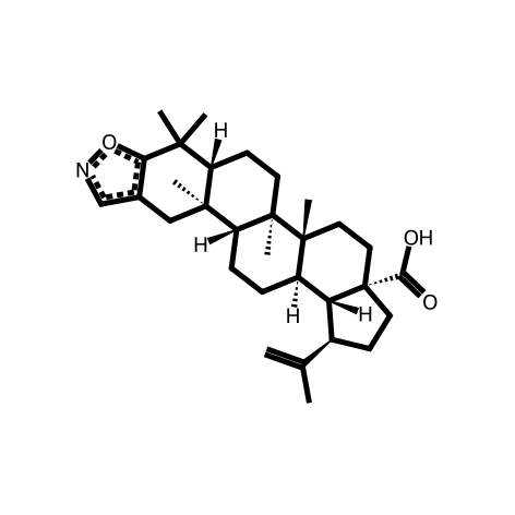 C=C(C)[C@@H]1CC[C@]2(C(=O)O)CC[C@]3(C)[C@H](CC[C@@H]4[C@@]5(C)Cc6cnoc6C(C)(C)[C@@H]5CC[C@]43C)[C@@H]12